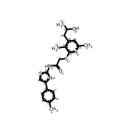 Cc1ccc(-c2csc(NC(=O)CSc3nc(C)cc(CC(C)O)c3N)n2)cc1